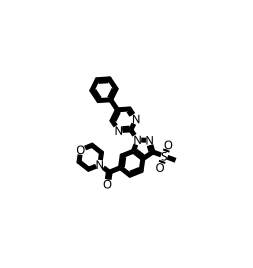 CS(=O)(=O)c1nn(-c2ncc(-c3ccccc3)cn2)c2cc(C(=O)N3CCOCC3)ccc12